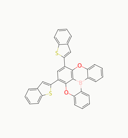 c1ccc2c(c1)Oc1c(-c3cc4ccccc4s3)cc(-c3cc4ccccc4s3)c3c1B2c1ccccc1O3